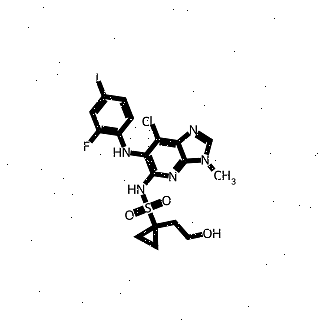 Cn1cnc2c(Cl)c(Nc3ccc(I)cc3F)c(NS(=O)(=O)C3(CCO)CC3)nc21